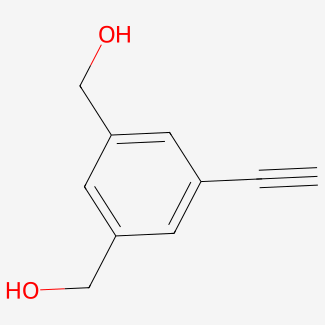 C#Cc1cc(CO)cc(CO)c1